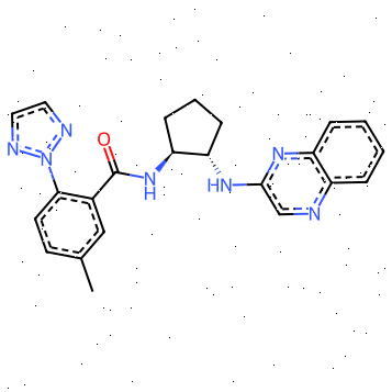 Cc1ccc(-n2nccn2)c(C(=O)N[C@H]2CCC[C@@H]2Nc2cnc3ccccc3n2)c1